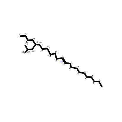 [CH2]CCCCCCCCC/C=C/CCCCCCC(CCC[CH2])CC(C)C